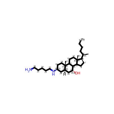 CC(C)CCC[C@@H](C)[C@H]1CCC2C3C(CC[C@@]21C)[C@@]1(C)CC[C@H](NCCCCCN)C[C@@H]1C[C@H]3O